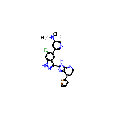 CN(C)c1cncc(-c2cc3c(-c4nc5c(-c6cccs6)ccnc5[nH]4)n[nH]c3cc2F)c1